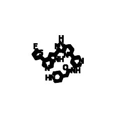 O=C(CC1CCNCC1)Nc1cncc(-c2ccc3[nH]nc(-c4cc5c(-c6ccc(F)s6)cncc5[nH]4)c3n2)c1